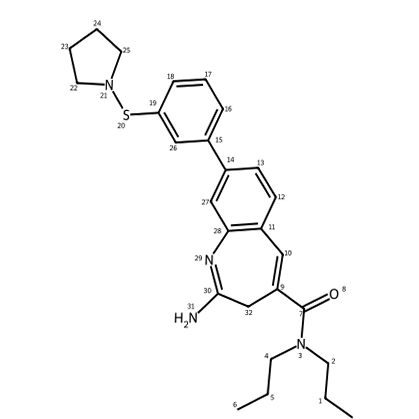 CCCN(CCC)C(=O)C1=Cc2ccc(-c3cccc(SN4CCCC4)c3)cc2N=C(N)C1